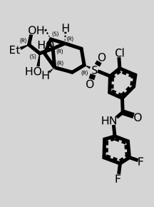 CC[C@@H](O)[C@H](O)[C@@]1(O)[C@H]2C[C@@H](S(=O)(=O)c3cc(C(=O)Nc4ccc(F)c(F)c4)ccc3Cl)C[C@@H]1[C@@H](C)C2